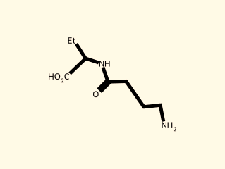 CCC(NC(=O)CCCN)C(=O)O